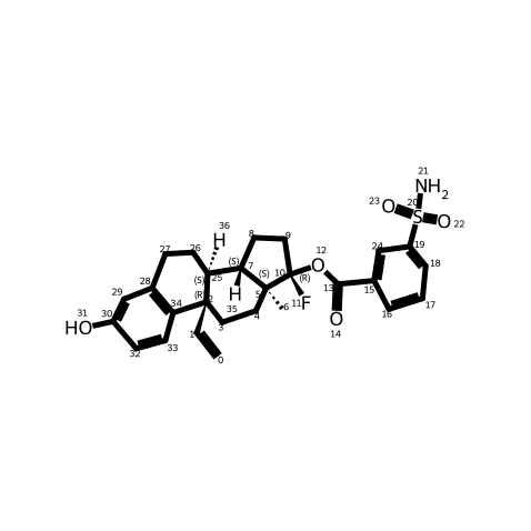 C=C[C@]12CC[C@@]3(C)[C@@H](CC[C@]3(F)OC(=O)c3cccc(S(N)(=O)=O)c3)[C@@H]1CCc1cc(O)ccc12